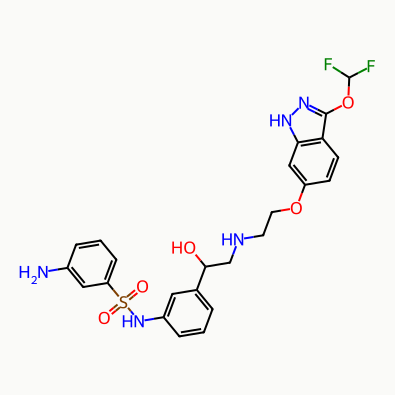 Nc1cccc(S(=O)(=O)Nc2cccc(C(O)CNCCOc3ccc4c(OC(F)F)n[nH]c4c3)c2)c1